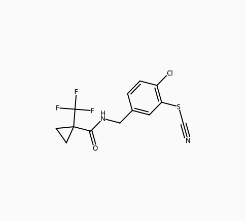 N#CSc1cc(CNC(=O)C2(C(F)(F)F)CC2)ccc1Cl